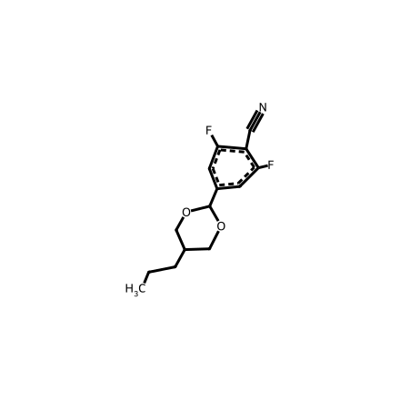 CCCC1COC(c2cc(F)c(C#N)c(F)c2)OC1